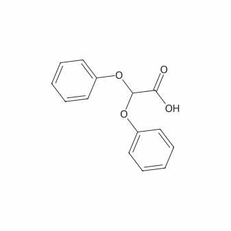 O=C(O)C(Oc1ccccc1)Oc1ccccc1